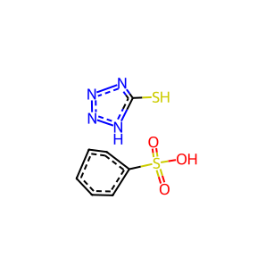 O=S(=O)(O)c1ccccc1.Sc1nnn[nH]1